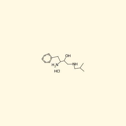 CC(C)CNCC(O)C(N)Cc1ccccc1.Cl